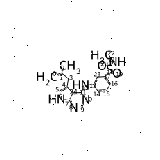 C=C(C)Cc1c[nH]c2ncnc(Nc3cccc(S(=O)(=O)NC)c3)c12